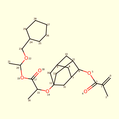 C=C(C)C(=O)OC1C2CC3CC1CC(OC(C)C(=O)OC(C)OCC1CCCCC1)(C3)C2